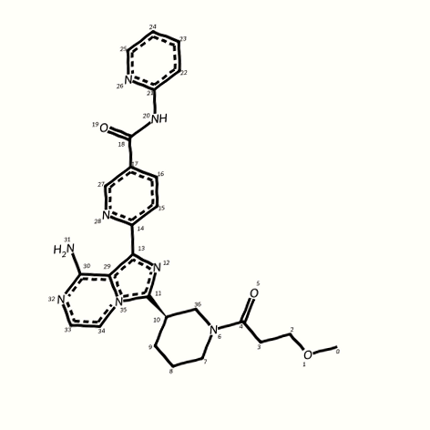 COCCC(=O)N1CCC[C@@H](c2nc(-c3ccc(C(=O)Nc4ccccn4)cn3)c3c(N)nccn23)C1